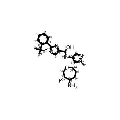 Cn1ncc(NC(O)c2csc(-c3ccccc3C(F)(F)F)n2)c1[C@@H]1CC[C@@H](N)[C@H](F)CO1